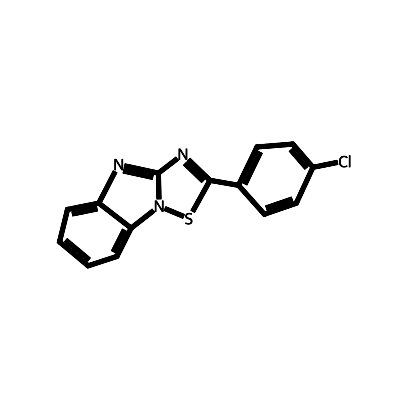 Clc1ccc(-c2nc3nc4ccccc4n3s2)cc1